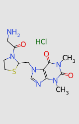 Cl.Cn1c(=O)c2c(ncn2CC2SCCN2C(=O)CN)n(C)c1=O